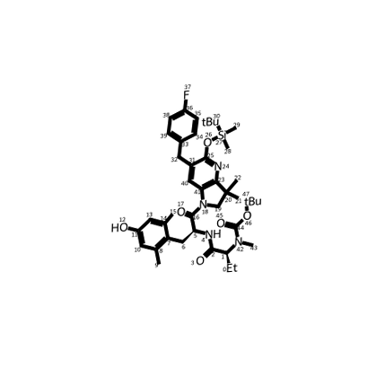 CC[C@@H](C(=O)N[C@@H](Cc1c(C)cc(O)cc1C)C(=O)N1CC(C)(C)c2nc(O[Si](C)(C)C(C)(C)C)c(Cc3ccc(F)cc3)cc21)N(C)C(=O)OC(C)(C)C